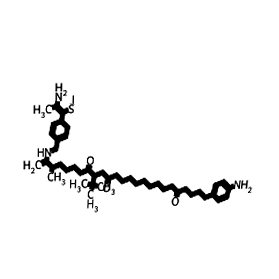 C=C(NCC1=CCC(/C(SI)=C(\C)N)C=C1)C(C)CCCCC(=O)C(CC(=O)CCCCCCCCCC(=O)CCCCc1ccc(N)cc1)C(C)(C)C